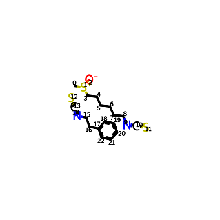 C[S+]([O-])CCCCCCN=C=S.S=C=NCCc1ccccc1